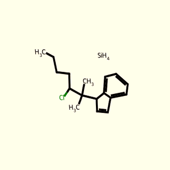 CCCCC(Cl)C(C)(C)C1C=Cc2ccccc21.[SiH4]